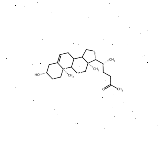 CC(=O)CC[C@@H](C)[C@H]1CCC2C3CC=C4C[C@@H](O)CC[C@]4(C)C3CC[C@@]21C